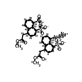 COC(=O)Cc1ccc(S(=O)(=O)[O-])c2c(N)cccc12.COC(=O)Cc1ccc(S(=O)(=O)[O-])c2c([N+](=O)[O-])cccc12.[Na+].[Na+]